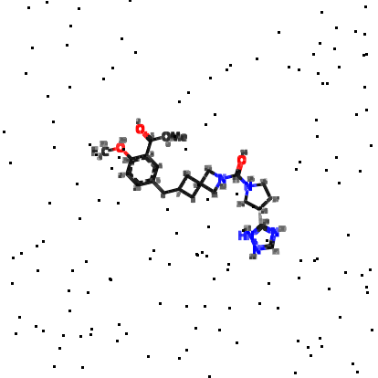 COC(=O)c1cc(CC2CC3(C2)CN(C(=O)N2CC[C@H](c4ncn[nH]4)C2)C3)ccc1OC(F)(F)F